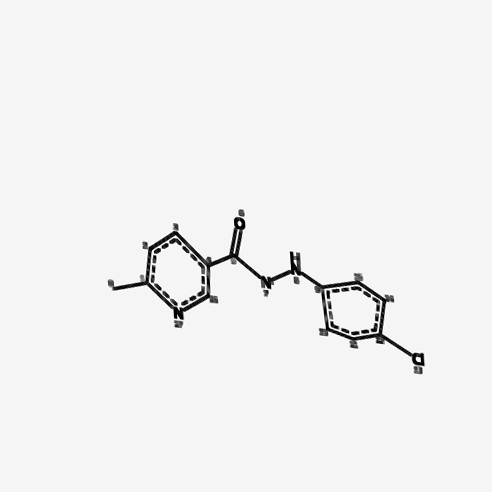 Cc1ccc(C(=O)[N]Nc2ccc(Cl)cc2)cn1